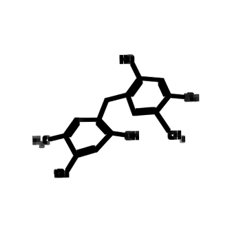 Cc1cc(Cc2cc(C)c(C(C)(C)C)cc2O)c(O)cc1C(C)(C)C